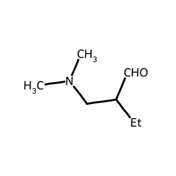 CCC(C=O)CN(C)C